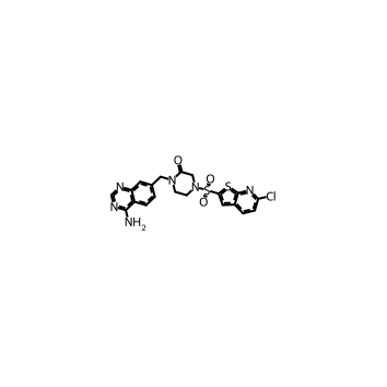 Nc1ncnc2cc(CN3CCN(S(=O)(=O)c4cc5ccc(Cl)nc5s4)CC3=O)ccc12